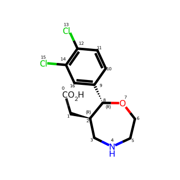 O=C(O)C[C@@H]1CNCCO[C@H]1c1ccc(Cl)c(Cl)c1